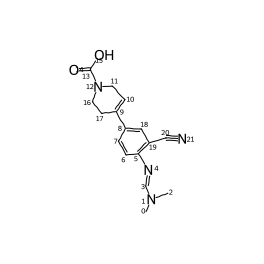 CN(C)C=Nc1ccc(C2=CCN(C(=O)O)CC2)cc1C#N